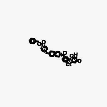 CCc1ccc(C(=O)N2CCC3(CCC(CN4CCN(C(=O)OCc5ccccc5)CC4)CC3)CC2)cc1N1CCC(=O)NC1=O